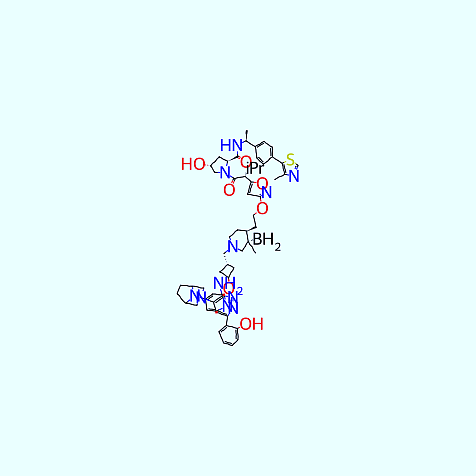 B[C@]1(C)CN(C[C@H]2C[C@H](Oc3cc(N4C5CCC4CN(c4cc(-c6ccccc6O)nnc4N)C5)ccn3)C2)CC[C@H]1CCOc1cc([C@H](C(=O)N2C[C@H](O)C[C@H]2C(=O)N[C@@H](C)c2ccc(-c3scnc3C)cc2)C(C)C)on1